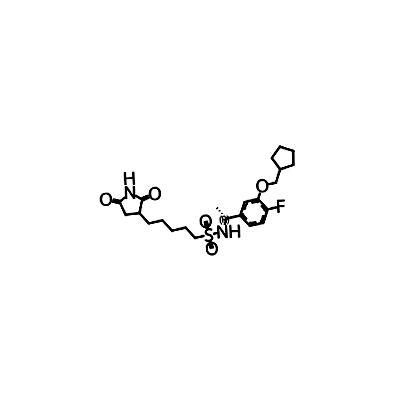 C[C@@H](NS(=O)(=O)CCCCCC1CC(=O)NC1=O)c1ccc(F)c(OCC2CCCC2)c1